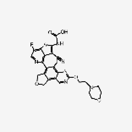 N#Cc1c(NC(=O)O)sc2c(F)cnc(-c3c4c(c5cnc(OCCN6CCOCC6)nc5c3F)COC4)c12